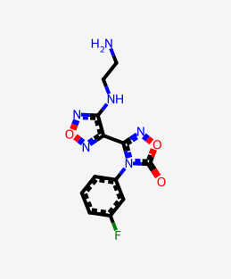 NCCNc1nonc1-c1noc(=O)n1-c1cccc(F)c1